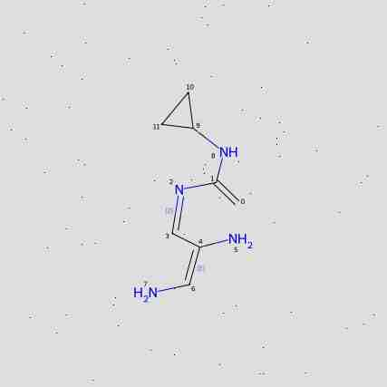 C=C(/N=C\C(N)=C/N)NC1CC1